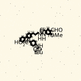 COc1cc(NC(=O)NCCCc2ccc(-c3ccccc3)c(N(C(=O)O)C3CCC(NC(=O)OC(C)(C)C)CC3)c2)c(Cl)cc1C=O